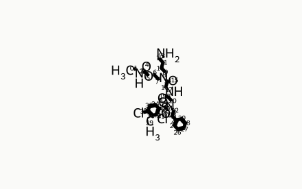 CCNC(=O)OCCN(CCCCN)C(=O)CNC(=O)CN(CCc1ccccc1)S(=O)(=O)c1ccc(Cl)c(C)c1Cl